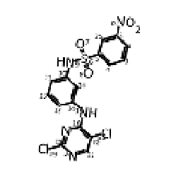 O=[N+]([O-])c1cccc(S(=O)(=O)Nc2cccc(Nc3nc(Cl)ncc3Cl)c2)c1